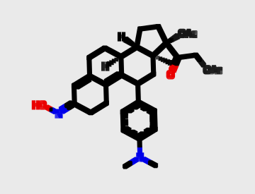 CC(=O)OCC(=O)[C@@]1(OC(C)=O)CC[C@H]2[C@@H]3CCC4=CC(=NO)CCC4=C3C(c3ccc(N(C)C)cc3)C[C@@]21C